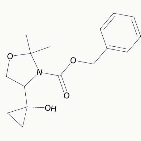 CC1(C)OCC(C2(O)CC2)N1C(=O)OCc1ccccc1